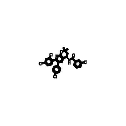 CC1(C)C[C@@H](NC(=O)c2cccc(Cl)c2)c2cc(-c3ccc(Cl)cc3)c(-c3ccc(Cl)cc3Cl)nc2O1